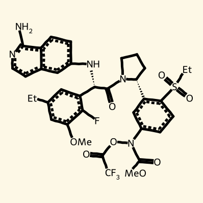 CCc1cc(OC)c(F)c([C@H](Nc2ccc3c(N)nccc3c2)C(=O)N2CCC[C@@H]2c2cc(N(OC(=O)C(F)(F)F)C(=O)OC)ccc2S(=O)(=O)CC)c1